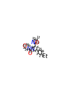 CCc1ccc(C2CC(c3ncc(C)o3)CN(C(=O)N3CCOCC3)C2)cc1